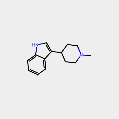 CN1CCC(c2c[nH]c3cc[c]cc23)CC1